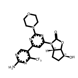 Nc1ncc(-c2cc(N3C(=O)OC4[C@@H](O)CC[C@@H]43)nc(N3CCOCC3)n2)c(C(F)(F)F)n1